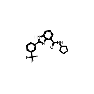 O=C(NC1CCCC1)c1cccc2[nH]c(-c3cccc(C(F)(F)F)c3)nc12